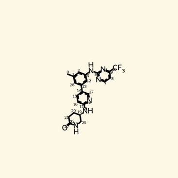 Cc1cc(Nc2nccc(C(F)(F)F)n2)cc(-c2ccc(N[C@@H]3CCC(=O)NC3)nc2)c1